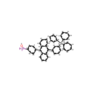 O=[PH2]c1ccc(-c2c3ccccc3c(-c3cccc([Si](c4ccccc4)(c4ccccc4)c4ccccc4)c3)c3ccccc23)cc1